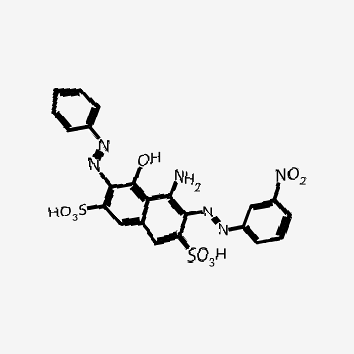 Nc1c(N=Nc2cccc([N+](=O)[O-])c2)c(S(=O)(=O)O)cc2cc(S(=O)(=O)O)c(N=Nc3ccccc3)c(O)c12